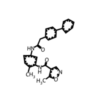 Cc1ccc(NC(=O)Cc2ccc(-c3ccccc3)cc2)cc1NC(=O)c1cnoc1C